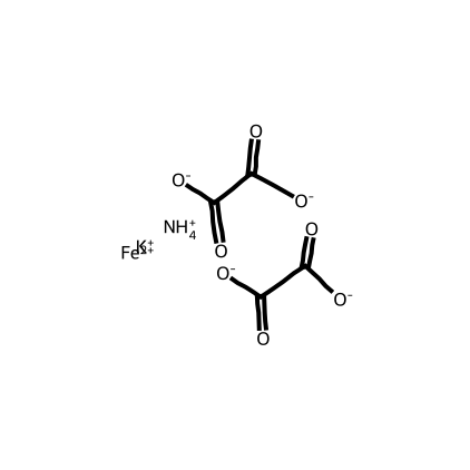 O=C([O-])C(=O)[O-].O=C([O-])C(=O)[O-].[Fe+2].[K+].[NH4+]